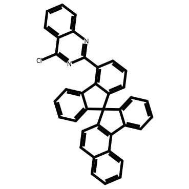 Clc1nc(-c2cccc3c2-c2ccccc2C32c3ccccc3-c3c2ccc2ccccc32)nc2ccccc12